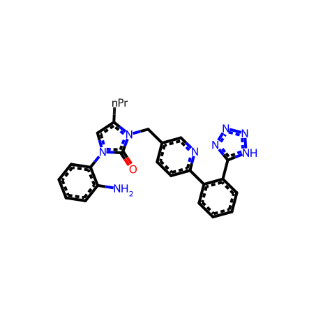 CCCc1cn(-c2ccccc2N)c(=O)n1Cc1ccc(-c2ccccc2-c2nnn[nH]2)nc1